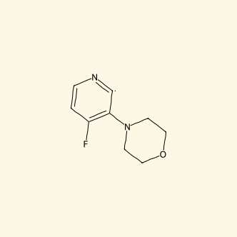 Fc1ccn[c]c1N1CCOCC1